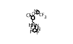 Fc1cc(F)c2ncnc(NCCc3ccc(Oc4cc(C(F)(F)F)ccn4)c(Cl)c3)c2c1F